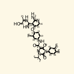 CC(C)n1nc(C(=O)Nc2ccc(Oc3ccnc(N)c3C(=N)N[C@H](C)CO)c(F)c2)c(=O)n(-c2ccc(F)c(F)c2)c1=O